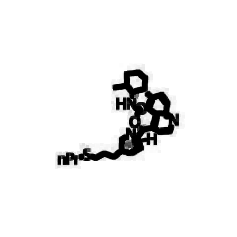 CCCSCCCC1CN2CCC1C[C@H]2[C@H](OC(=O)N[C@@H]1CCCCC1C)c1ccnc2ccc(C)cc12